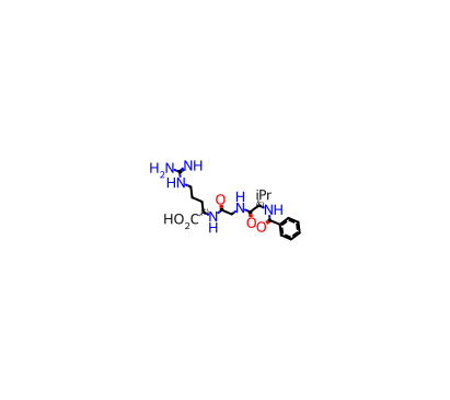 CC(C)[C@H](NC(=O)c1ccccc1)C(=O)NCC(=O)N[C@@H](CCCNC(=N)N)C(=O)O